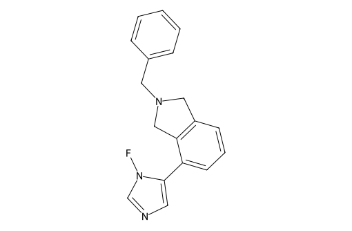 Fn1cncc1-c1cccc2c1CN(Cc1ccccc1)C2